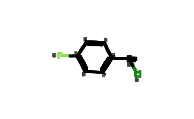 Fc1cc[c]([Sn][Cl])cc1